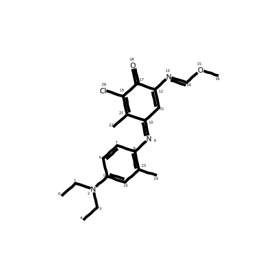 CCN(CC)c1ccc(N=C2C=C(N=COC)C(=O)C(Cl)=C2C)c(C)c1